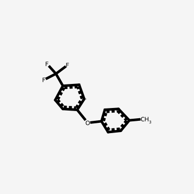 Cc1ccc(Oc2[c]cc(C(F)(F)F)cc2)cc1